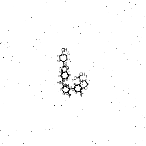 CC(C)N1CCOc2c(F)cc(-c3nc(Nc4ccc5oc(C6CCN(C)CC6)nc5c4)ncc3F)cc21